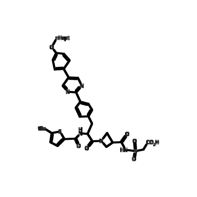 CCCCCCCOc1ccc(-c2cnc(-c3ccc(CC(NC(=O)c4ccc(C(C)(C)C)s4)C(=O)N4CC(C(=O)NS(=O)(=O)CC(=O)O)C4)cc3)nc2)cc1